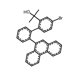 CC(C)(O)c1cc(Br)ccc1-c1ccccc1-c1cc2ccccc2c2ccccc12